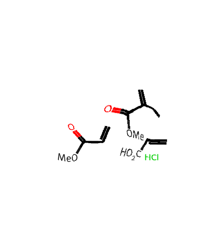 C=C(C)C(=O)OC.C=CC(=O)O.C=CC(=O)OC.Cl